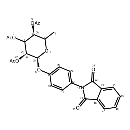 CC(=O)OC1[C@@H](OC(C)=O)C(C)O[C@@H](Oc2ccc(N3C(=O)c4ccccc4C3=O)cc2)[C@H]1OC(C)=O